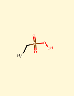 CCS(=O)(=O)OO